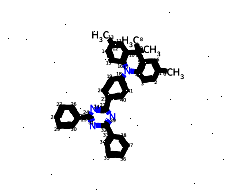 Cc1ccc2c(c1)C(C)(C)c1cc(C)ccc1N2c1ccc(-c2nc(-c3ccccc3)nc(-c3ccccc3)n2)cc1